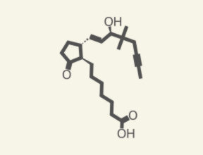 CC#CCC(C)(C)[C@H](O)C=C[C@H]1CCC(=O)[C@@H]1CCCCCCC(=O)O